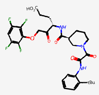 CC(C)(C)c1ccccc1NC(=O)C(=O)N1CCC[C@H](C(=O)N[C@@H](CCC(=O)O)C(=O)COc2c(F)c(F)cc(F)c2F)C1